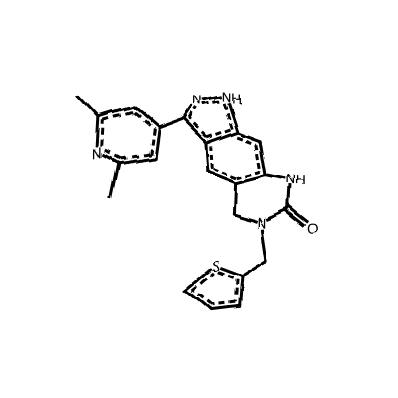 Cc1cc(-c2n[nH]c3cc4c(cc23)CN(Cc2cccs2)C(=O)N4)cc(C)n1